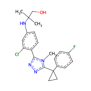 Cn1c(-c2ccc(NC(C)(C)CO)cc2Cl)nnc1C1(c2ccc(F)cc2)CC1